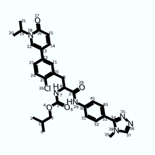 CC(C)COC(=O)NC(Cc1cc(-c2ccc(=O)n(C(C)C)c2)ccc1Cl)C(=O)Nc1ccc(-c2nncn2C)cc1